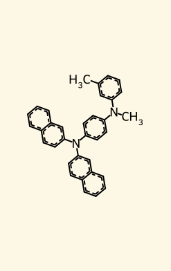 Cc1cccc(N(C)c2ccc(N(c3ccc4ccccc4c3)c3ccc4ccccc4c3)cc2)c1